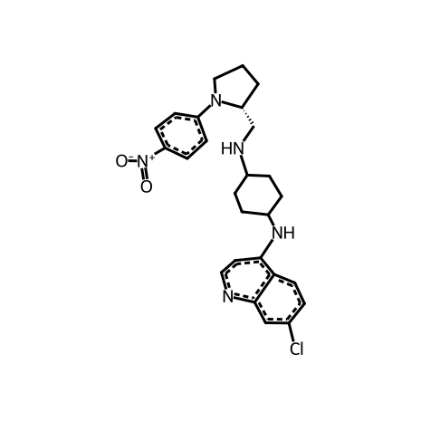 O=[N+]([O-])c1ccc(N2CCC[C@@H]2CNC2CCC(Nc3ccnc4cc(Cl)ccc34)CC2)cc1